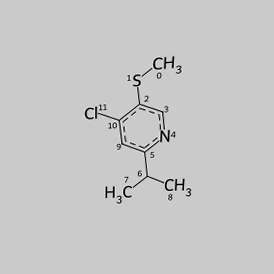 CSc1cnc(C(C)C)cc1Cl